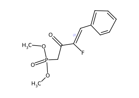 COP(=O)(CC(=O)/C(F)=C/c1ccccc1)OC